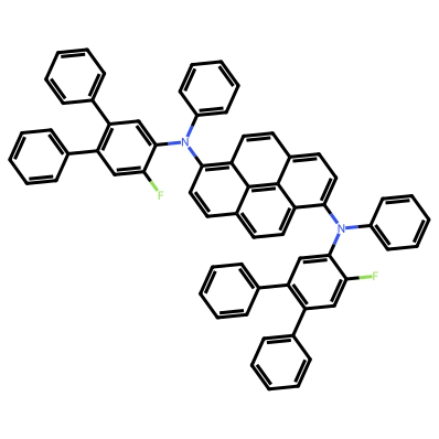 Fc1cc(-c2ccccc2)c(-c2ccccc2)cc1N(c1ccccc1)c1ccc2ccc3c(N(c4ccccc4)c4cc(-c5ccccc5)c(-c5ccccc5)cc4F)ccc4ccc1c2c43